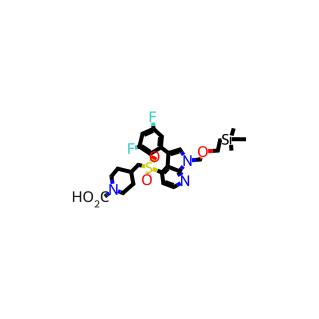 C[Si](C)(C)CCOCn1cc(-c2cc(F)cc(F)c2)c2c(S(=O)(=O)CC3CCN(C(=O)O)CC3)ccnc21